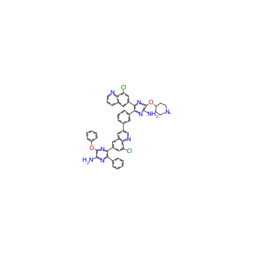 CN1CCC(Oc2nc(-c3cc(Cl)c4ncccc4c3)c(-c3cccc(-c4cnc5c(Cl)cc(-c6nc(Oc7ccccc7)c(N)nc6-c6ccccc6)cc5c4)c3)nc2N)CC1